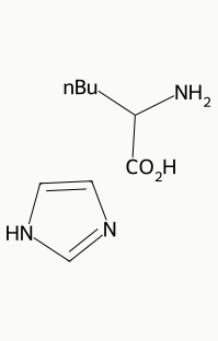 CCCCC(N)C(=O)O.c1c[nH]cn1